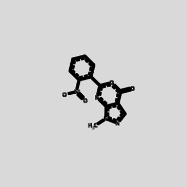 Cn1ncc2c(=O)oc(-c3ccccc3[N+](=O)[O-])nc21